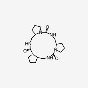 O=C1NCC2CCCN2C(=O)NCC2CCCN2C(=O)NCC2CCCN12